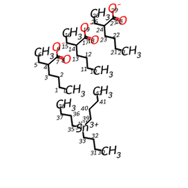 CCCCC(CC)C(=O)[O-].CCCCC(CC)C(=O)[O-].CCCCC(CC)C(=O)[O-].CCC[CH2][Sn+3]([CH2]CCC)[CH2]CCC